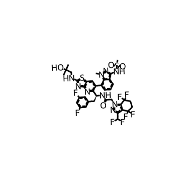 Cn1nc(NS(C)(=O)=O)c2cccc(-c3cc4sc(NCC(C)(C)O)nc4nc3[C@H](Cc3cc(F)cc(F)c3)NC(=O)Cn3nc(C(F)F)c4c3C(F)(F)CCC4(F)F)c21